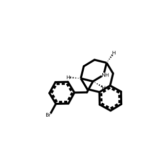 Brc1cccc(C[C@@H]2N[C@H]3CC[C@@H]2Cc2ccccc2C3)c1